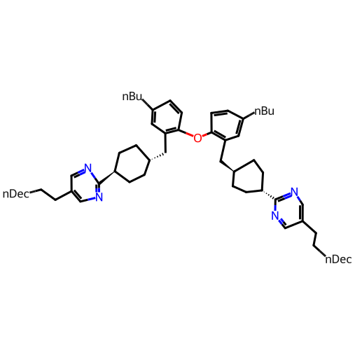 CCCCCCCCCCCCc1cnc([C@H]2CC[C@H](Cc3cc(CCCC)ccc3Oc3ccc(CCCC)cc3C[C@H]3CC[C@H](c4ncc(CCCCCCCCCCCC)cn4)CC3)CC2)nc1